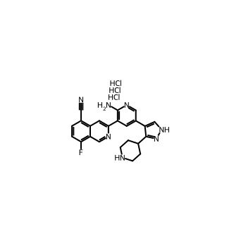 Cl.Cl.Cl.N#Cc1ccc(F)c2cnc(-c3cc(-c4c[nH]nc4C4CCNCC4)cnc3N)cc12